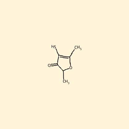 CC1=C(S)C(=O)C(C)O1